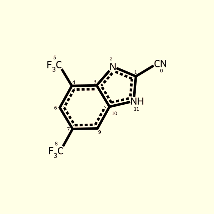 N#Cc1nc2c(C(F)(F)F)cc(C(F)(F)F)cc2[nH]1